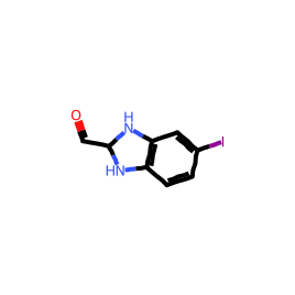 O=CC1Nc2ccc(I)cc2N1